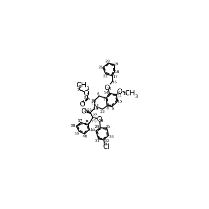 CCOC(=O)[C@@H]1Cc2c(ccc(OC)c2OCc2ccccc2)CN1C(=O)[C@@H](Oc1ccc(Cl)cc1)c1ccccc1